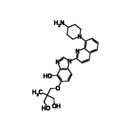 CC(CO)(CO)COc1ccc2c(ncn2-c2ccc3cccc(N4CCC(N)CC4)c3n2)c1O